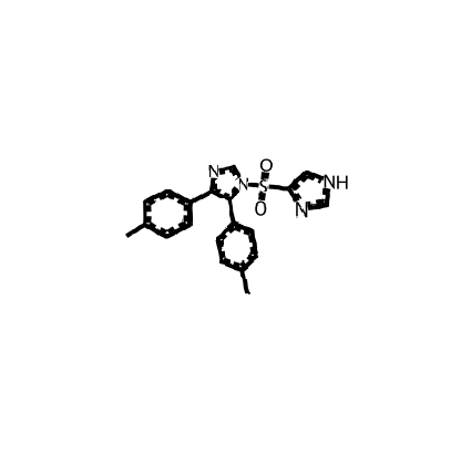 Cc1ccc(-c2ncn(S(=O)(=O)c3c[nH]cn3)c2-c2ccc(C)cc2)cc1